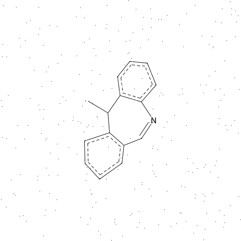 [CH2]C1c2ccccc2C=Nc2ccccc21